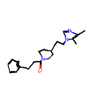 Cc1ncn(CCC2CCN(C(=O)CCc3ccccc3)CC2)c1C